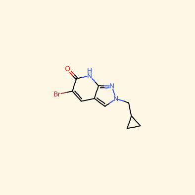 O=c1[nH]c2nn(CC3CC3)cc2cc1Br